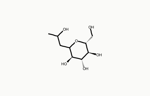 CC(O)CC1O[C@H](CO)[C@@H](O)[C@H](O)[C@H]1O